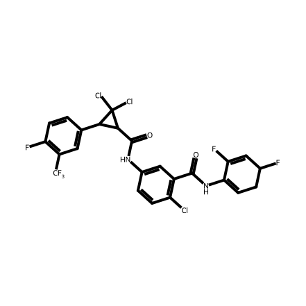 O=C(NC1=CCC(F)C=C1F)c1cc(NC(=O)C2C(c3ccc(F)c(C(F)(F)F)c3)C2(Cl)Cl)ccc1Cl